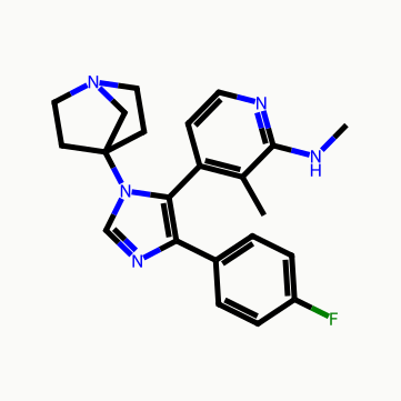 CNc1nccc(-c2c(-c3ccc(F)cc3)ncn2C23CCN(CC2)C3)c1C